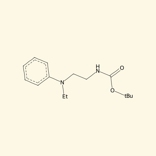 CCN(CCNC(=O)OC(C)(C)C)c1ccccc1